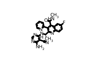 CNC(=O)c1c(-c2ccccn2)c([C@H](C)Nc2ncnc(N)c2C#N)nc2ccc(F)cc12